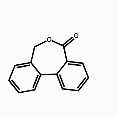 O=C1OCc2ccccc2-c2ccccc21